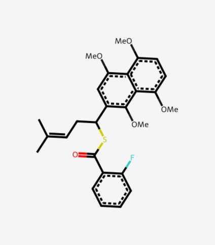 COc1ccc(OC)c2c(OC)c(C(CC=C(C)C)SC(=O)c3ccccc3F)cc(OC)c12